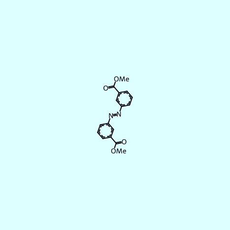 COC(=O)c1cccc(N=Nc2cccc(C(=O)OC)c2)c1